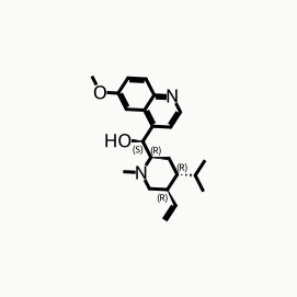 C=C[C@H]1CN(C)[C@@H]([C@@H](O)c2ccnc3ccc(OC)cc23)C[C@@H]1C(C)C